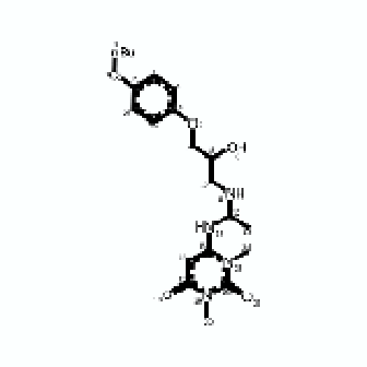 CCCCOc1ccc(OCC(O)CNC(C)Nc2cc(=O)n(C)c(=O)n2C)cc1